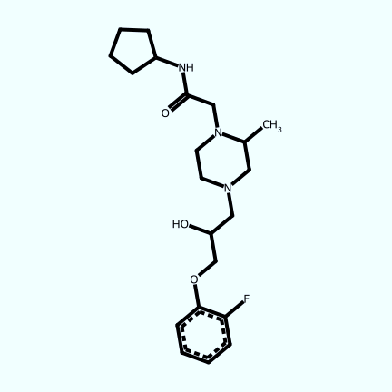 CC1CN(CC(O)COc2ccccc2F)CCN1CC(=O)NC1CCCC1